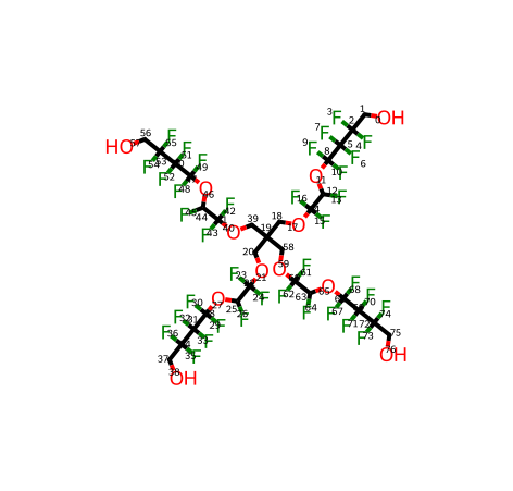 OCC(F)(F)C(F)(F)C(F)(F)OC(F)C(F)(F)OCC(COC(F)(F)C(F)OC(F)(F)C(F)(F)C(F)(F)CO)(COC(F)(F)C(F)OC(F)(F)C(F)(F)C(F)(F)CO)COC(F)(F)C(F)OC(F)(F)C(F)(F)C(F)(F)CO